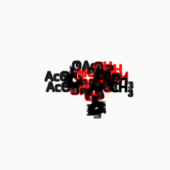 CC(=O)OC[C@H]1O[C@@H](OC[C@@H]2OC(c3ccccc3)O[C@H]([C@H]3COC(C)(C)O3)[C@@H]2O[C@@H]2O[C@H](CO)[C@@H](O)[C@H](O)[C@H]2O)[C@H](O)[C@@H](OC(C)=O)[C@@H]1OC(C)=O